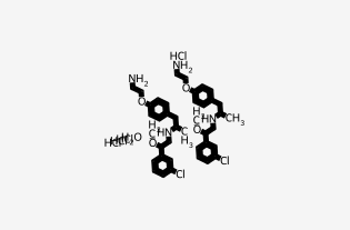 COC(CNC(C)Cc1ccc(OCCN)cc1)c1cccc(Cl)c1.COC(CNC(C)Cc1ccc(OCCN)cc1)c1cccc(Cl)c1.Cl.Cl.Cl.Cl.O